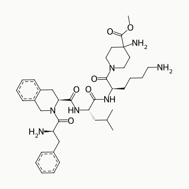 COC(=O)C1(N)CCN(C(=O)[C@@H](CCCCN)NC(=O)[C@H](CC(C)C)NC(=O)[C@@H]2Cc3ccccc3CN2C(=O)[C@H](N)Cc2ccccc2)CC1